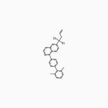 C=CCC(CC)(CC)c1ccc2c(-c3ccc(-c4c(C)cccc4C)cc3)nccc2c1